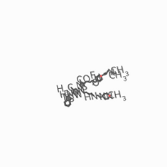 Cc1cc(N(CCCCNCCN2CCN(C)CC2)c2nc(C(=O)O)c(CCCOc3ccc(C#CCN(C)C)cc3F)s2)nnc1Nc1nc2ccccc2s1